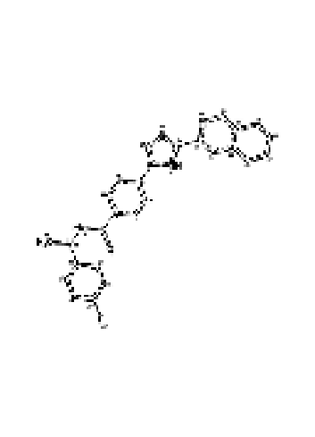 C[C@@H](NC(=O)c1ccc(-c2cnc(-c3cc4ccccc4cn3)[nH]2)cc1)c1ccc(F)cc1